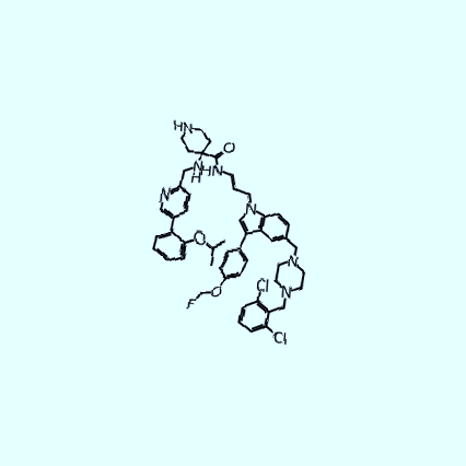 CC(C)Oc1ccccc1-c1ccc(CNC2(C(=O)NCCCn3cc(-c4ccc(OCF)cc4)c4cc(CN5CCN(Cc6c(Cl)cccc6Cl)CC5)ccc43)CCNCC2)nc1